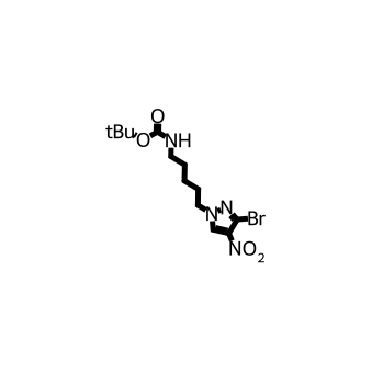 CC(C)(C)OC(=O)NCCCCCn1cc([N+](=O)[O-])c(Br)n1